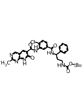 Cc1ncc2cc(C(=O)Nc3cc(C(=O)NC(CCNC(=O)OC(C)(C)C)c4ccccc4)ccc3Cl)c(=O)[nH]c2n1